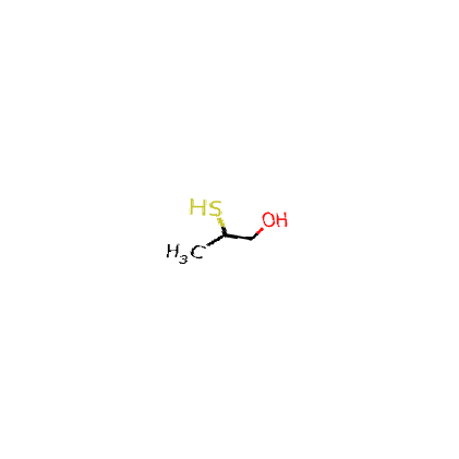 CC(S)CO